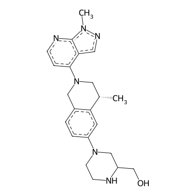 C[C@H]1CN(c2ccnc3c2cnn3C)Cc2ccc(N3CCNC(CO)C3)cc21